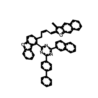 C=c1/c(=C\C=C/Cc2ccc3oc4ccccc4c3c2-c2nc(-c3ccc(-c4ccccc4)cc3)nc(-c3ccc4ccccc4c3)n2)oc2cc3ccccc3cc12